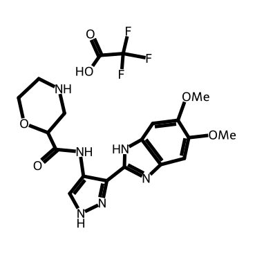 COc1cc2nc(-c3n[nH]cc3NC(=O)C3CNCCO3)[nH]c2cc1OC.O=C(O)C(F)(F)F